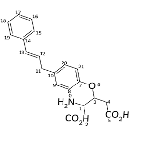 NC(C(=O)O)C(CC(=O)O)Oc1ccc(CC=Cc2ccccc2)cc1